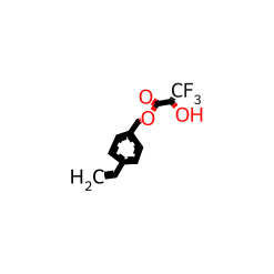 C=Cc1ccc(COC(=O)C(O)C(F)(F)F)cc1